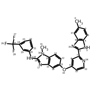 Cc1ccc2[nH]c(-c3cc(Oc4ccc5c(c4)nc(Nc4cccc(C(F)(F)F)c4)n5C)ccn3)nc2c1